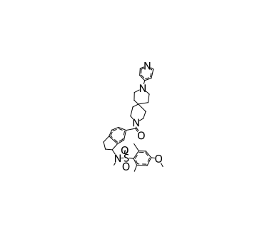 COc1cc(C)c(S(=O)(=O)N(C)C2CCc3ccc(C(=O)N4CCC5(CC4)CCN(c4ccncc4)CC5)cc32)c(C)c1